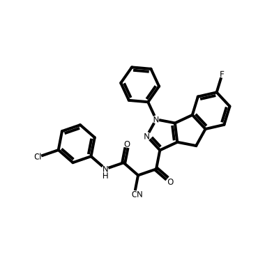 N#CC(C(=O)Nc1cccc(Cl)c1)C(=O)c1nn(-c2ccccc2)c2c1Cc1ccc(F)cc1-2